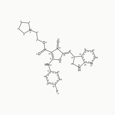 O=C(OCCN1CCCC1)C1=C(Nc2ccc(F)cc2)O/C(=C\C2CNc3ncccc32)C1=O